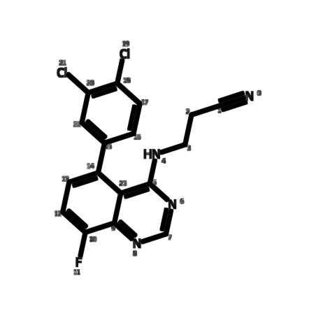 N#CCCNc1ncnc2c(F)ccc(-c3ccc(Cl)c(Cl)c3)c12